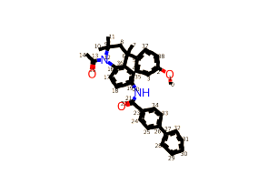 COc1ccc(C2(C)CC(C)(C)N(C(C)=O)c3ccc(NC(=O)c4ccc(-c5ccccc5)cc4)cc32)cc1